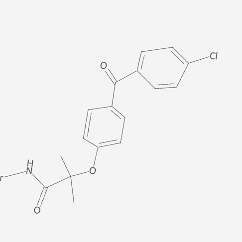 CC(C)NC(=O)C(C)(C)Oc1ccc(C(=O)c2ccc(Cl)cc2)cc1